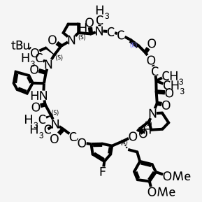 COc1ccc(CC[C@H]2OC(=O)[C@@H]3CCCCN3C(=O)C(=O)C(C)(C)COC(=O)/C=C/CCN(C)C(=O)[C@@H]3CCCN3C(=O)[C@H](COC(C)(C)C)N(C)C(=O)C(c3ccccc3)NC(=O)[C@H](C)N(C)C(=O)COc3cc(F)cc2c3)cc1OC